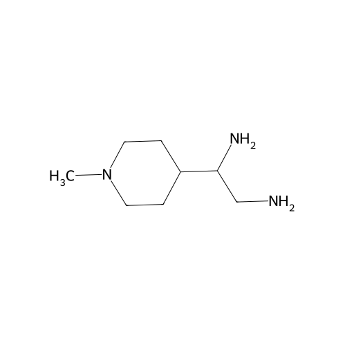 CN1CCC(C(N)CN)CC1